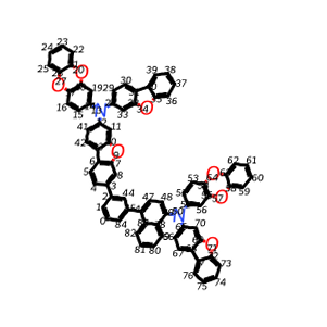 c1cc(-c2ccc3c(c2)oc2cc(N(c4ccc5c(c4)Oc4ccccc4O5)c4ccc5c(c4)oc4ccccc45)ccc23)cc(-c2ccc(N(c3ccc4c(c3)Oc3ccccc3O4)c3ccc4c(c3)oc3ccccc34)c3ccccc23)c1